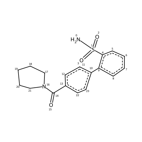 NS(=O)(=O)c1ccccc1-c1ccc(C(=O)N2CCCCC2)cc1